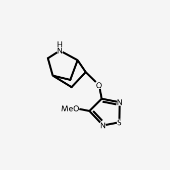 COc1nsnc1OC1CC2CNC1C2